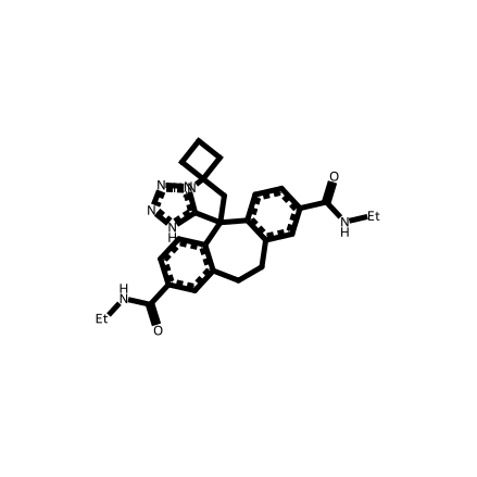 CCNC(=O)c1ccc2c(c1)CCc1cc(C(=O)NCC)ccc1C2(CC1(N)CCC1)c1nnn[nH]1